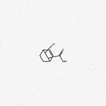 CCCCC(=O)C1C2C=CC(CC2)C1C(C)=O